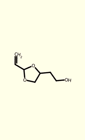 C=CC1OCC(CCO)O1